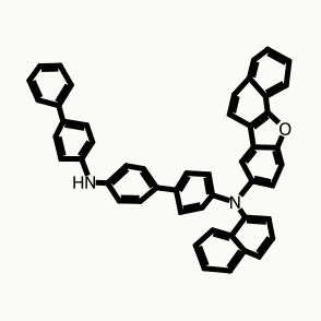 c1ccc(-c2ccc(Nc3ccc(-c4ccc(N(c5ccc6oc7c8ccccc8ccc7c6c5)c5cccc6ccccc56)cc4)cc3)cc2)cc1